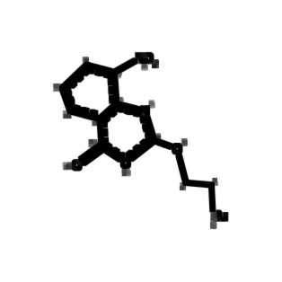 CCC(C)CCOc1nc2c([N+](=O)[O-])cccc2c(=O)o1